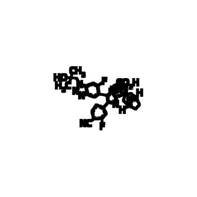 CC(C)(O)Cn1nnc2cc(-c3c(-c4ccc(C#N)c(F)c4)nc4c(N5[C@@H]6CC[C@H]5CC(NC(=O)O)C6)nccn34)c(F)cc21